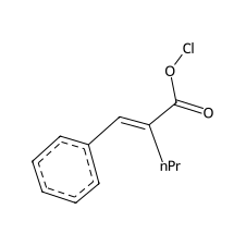 CCC/C(=C\c1ccccc1)C(=O)OCl